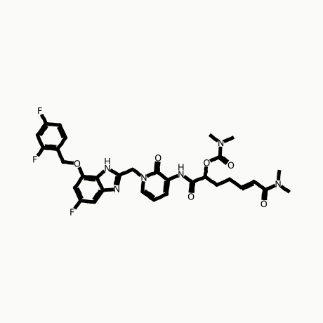 CN(C)C(=O)C=CCCC(OC(=O)N(C)C)C(=O)Nc1cccn(Cc2nc3cc(F)cc(OCc4ccc(F)cc4F)c3[nH]2)c1=O